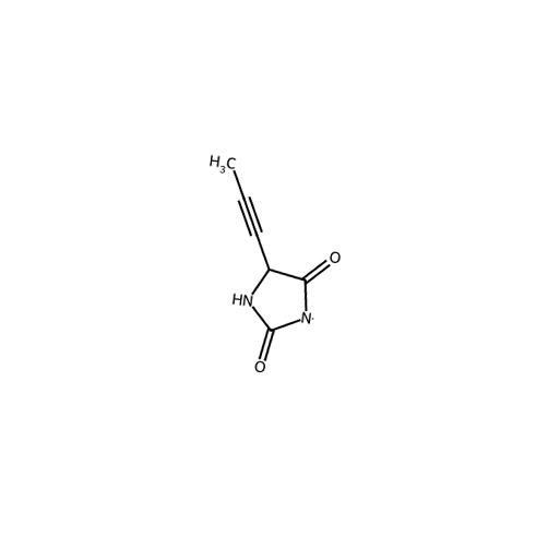 CC#CC1NC(=O)[N]C1=O